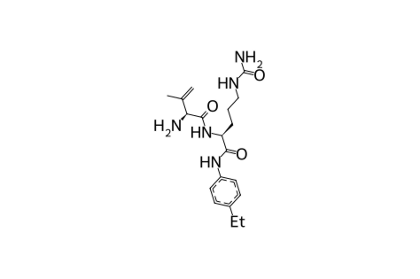 C=C(C)[C@H](N)C(=O)N[C@@H](CCCNC(N)=O)C(=O)Nc1ccc(CC)cc1